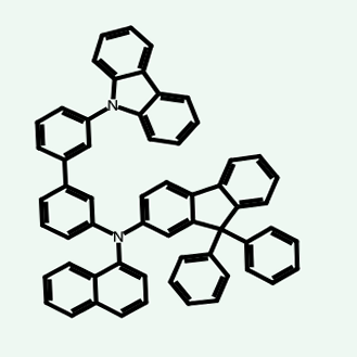 c1ccc(C2(c3ccccc3)c3ccccc3-c3ccc(N(c4cccc(-c5cccc(-n6c7ccccc7c7ccccc76)c5)c4)c4cccc5ccccc45)cc32)cc1